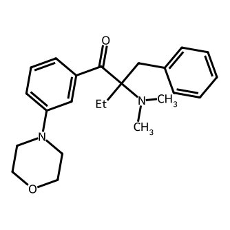 CCC(Cc1ccccc1)(C(=O)c1cccc(N2CCOCC2)c1)N(C)C